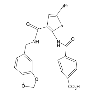 CC(C)c1cc(C(=O)NCc2ccc3c(c2)OCO3)c(NC(=O)c2ccc(C(=O)O)cc2)s1